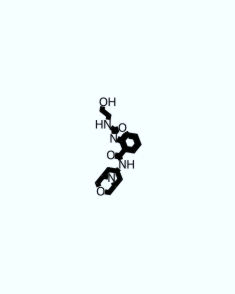 CN1C2COCC1CC(NC(=O)c1cccc3oc(NCCO)nc13)C2